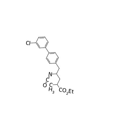 CCOC(=O)C(C)CC(Cc1ccc(-c2cccc(Cl)c2)cc1)N=C=O